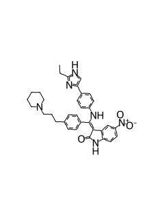 CCc1nc(-c2ccc(NC(=C3C(=O)Nc4ccc([N+](=O)[O-])cc43)c3ccc(CCCN4CCCCC4)cc3)cc2)c[nH]1